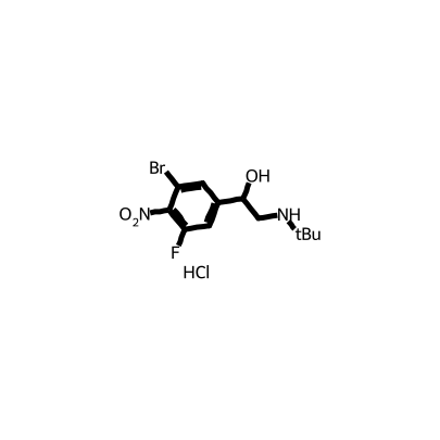 CC(C)(C)NCC(O)c1cc(F)c([N+](=O)[O-])c(Br)c1.Cl